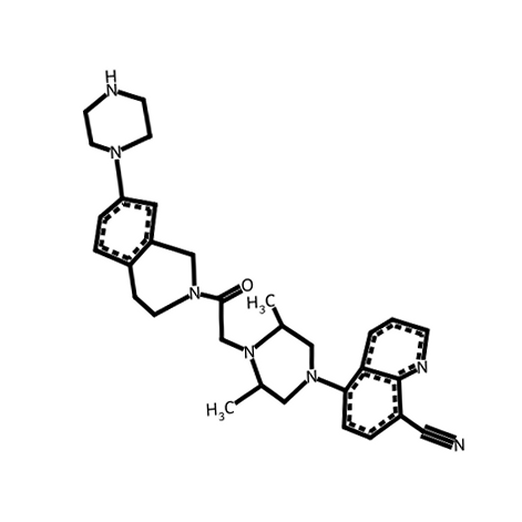 CC1CN(c2ccc(C#N)c3ncccc23)CC(C)N1CC(=O)N1CCc2ccc(N3CCNCC3)cc2C1